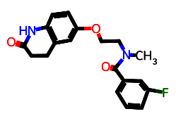 CN(CCOc1ccc2c(c1)CCC(=O)N2)C(=O)c1cccc(F)c1